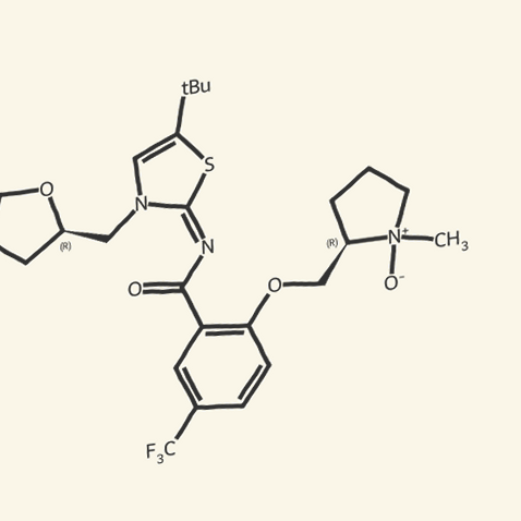 CC(C)(C)c1cn(C[C@H]2CCCO2)c(=NC(=O)c2cc(C(F)(F)F)ccc2OC[C@H]2CCC[N+]2(C)[O-])s1